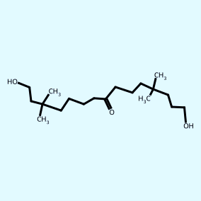 CC(C)(CCO)CCCCC(=O)CCCC(C)(C)CCCO